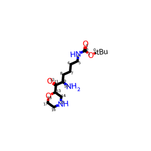 CC(C)(C)OC(=O)NCCCCC(N)C(=O)C1CNCCO1